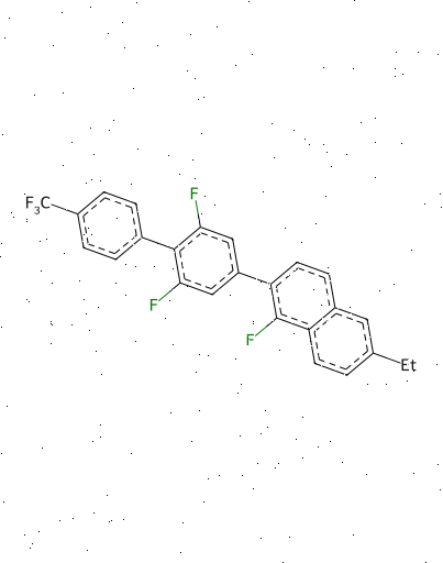 CCc1ccc2c(F)c(-c3cc(F)c(-c4ccc(C(F)(F)F)cc4)c(F)c3)ccc2c1